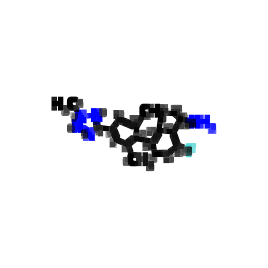 Cc1cc(-c2nnn(C)n2)cc(C)c1-c1ccc(F)c2c1CC[C@H]2N